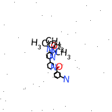 Cn1c(=O)n(CC(C)(C)C)c2ccc(C3CCCN(C(=O)c4cccc(C#N)c4)C3)nc21